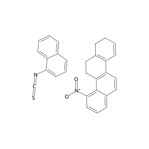 O=[N+]([O-])c1cccc2ccc3c(c12)CCC1=C3C=CCC1.S=C=Nc1cccc2ccccc12